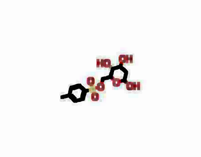 Cc1ccc(S(=O)(=O)OCC2OC(O)CC(O)[C@H]2O)cc1